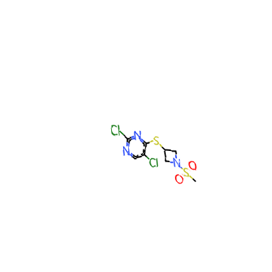 CS(=O)(=O)N1CC(Sc2nc(Cl)ncc2Cl)C1